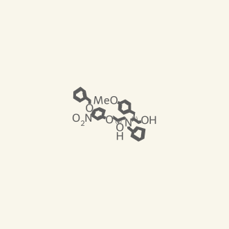 COc1ccc(C[C@@H](CO)N(Cc2ccccc2)C[C@H](O)COc2ccc(OCc3ccccc3)c([N+](=O)[O-])c2)cc1